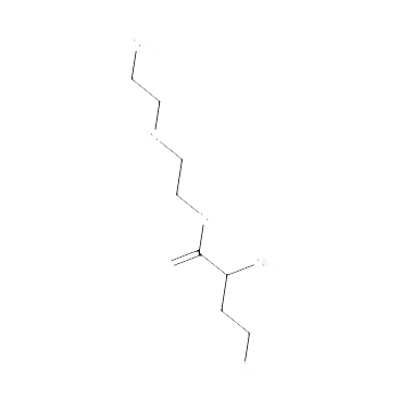 NCCNCCNC(=O)C(N)CCO